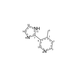 Cc1ccn[c]c1-c1ncc[nH]1